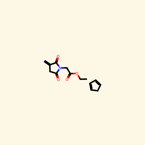 C1=CCC=C1.C=C1CC(=O)N(CC(=O)OCC)C1=O